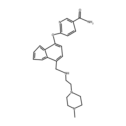 CN1CCN(CCNCc2ccc(Oc3ccc(C(N)=O)cn3)c3ccccc23)CC1